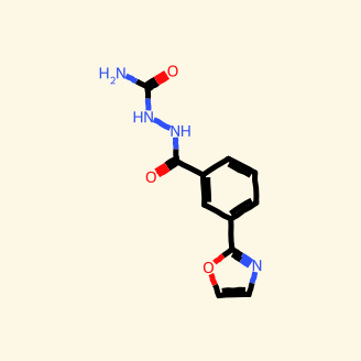 NC(=O)NNC(=O)c1cccc(-c2ncco2)c1